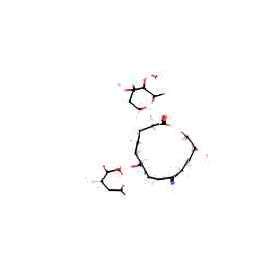 COC1(C)C[C@H](O[C@H]2[C@H](C)[C@@H](O[C@@H]3OC(C)C[C@@H](N(C)C)C3O)[C@](C)(O)C[C@@H](C)/C(=N\O)[C@H](C)[C@@H](O)[C@](C)(O)[C@@H](C)OC(=O)[C@@H]2C)OC(C)[C@@]12CO2